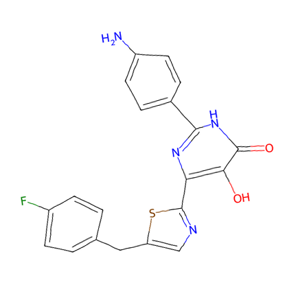 Nc1ccc(-c2nc(-c3ncc(Cc4ccc(F)cc4)s3)c(O)c(=O)[nH]2)cc1